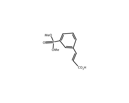 COP(=O)(OC)c1cccc(C=CC(=O)O)c1